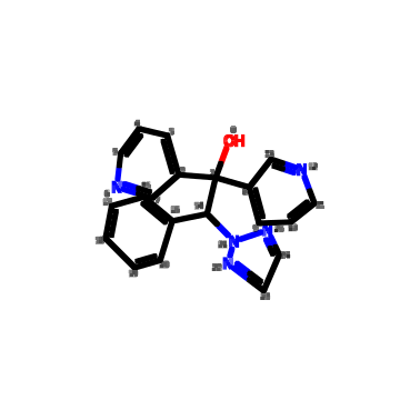 OC(c1cccnc1)(c1cccnc1)C(c1ccccc1)n1nccn1